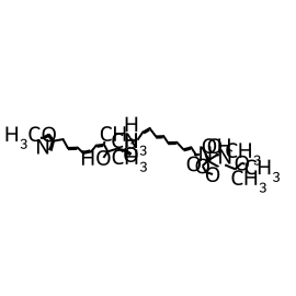 COC(C)CN(C)C(=O)C1(N(O)C(=O)/C=C/C=C/C=C/C=C\CNC(=O)C(C)(C)C(O)\C(C)=C/C=C\C=C\Cc2cnc(C)o2)COCO1